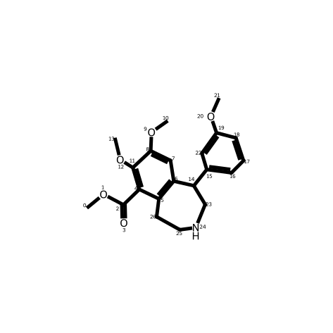 COC(=O)c1c2c(cc(OC)c1OC)C(c1cccc(OC)c1)CNCC2